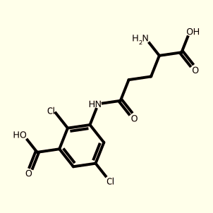 NC(CCC(=O)Nc1cc(Cl)cc(C(=O)O)c1Cl)C(=O)O